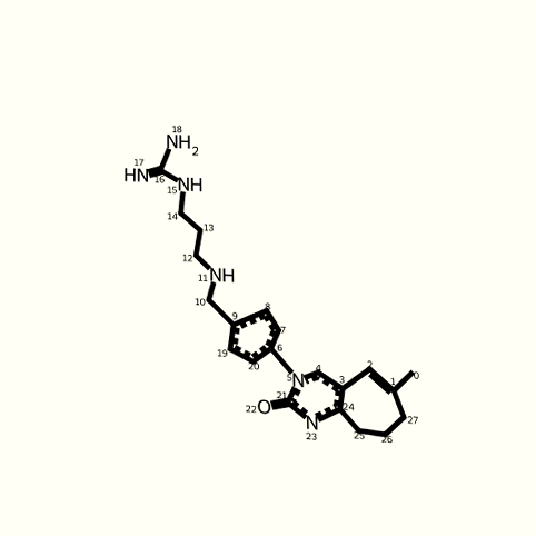 CC1=Cc2cn(-c3ccc(CNCCCNC(=N)N)cc3)c(=O)nc2CCC1